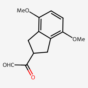 COc1ccc(OC)c2c1CC(C(=O)C=O)C2